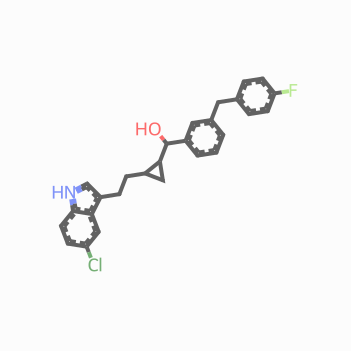 OC(c1cccc(Cc2ccc(F)cc2)c1)C1CC1CCc1c[nH]c2ccc(Cl)cc12